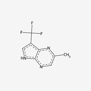 Cc1cnc2[nH]cc(C(F)(F)F)c2n1